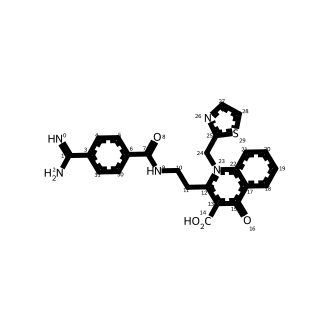 N=C(N)c1ccc(C(=O)NCCc2c(C(=O)O)c(=O)c3ccccc3n2Cc2nccs2)cc1